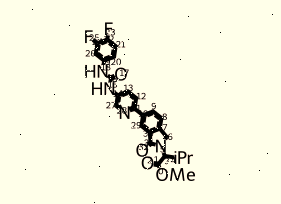 COC(=O)C(C(C)C)N1Cc2ccc(-c3ccc(NC(=O)Nc4ccc(F)c(F)c4)cn3)cc2C1=O